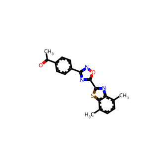 CC(=O)c1ccc(-c2noc(-c3nc4c(C)ccc(C)c4s3)n2)cc1